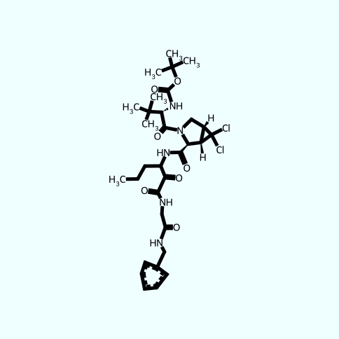 CCCC(NC(=O)[C@@H]1[C@@H]2[C@H](CN1C(=O)[C@@H](NC(=O)OC(C)(C)C)C(C)(C)C)C2(Cl)Cl)C(=O)C(=O)NCC(=O)NCc1ccccc1